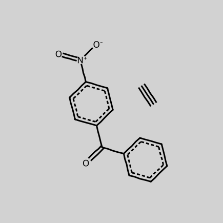 C#C.O=C(c1ccccc1)c1ccc([N+](=O)[O-])cc1